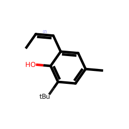 C/C=C\c1cc(C)cc(C(C)(C)C)c1O